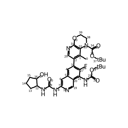 Cc1c(-c2cc3cc(NC(=O)NC4CCCC4O)ncc3c(NC(=O)OC(C)(C)C)c2F)cnc2c1N(C(=O)OC(C)(C)C)CCO2